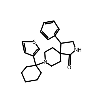 O=C1NCC(c2ccccc2)C12CCN(C1(c3ccsc3)CCCCC1)CC2